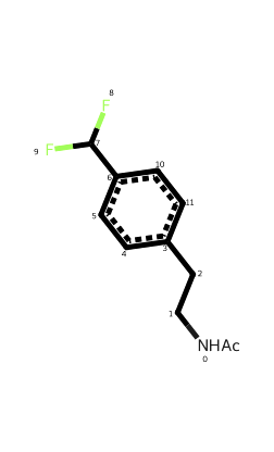 CC(=O)NCCc1ccc([C](F)F)cc1